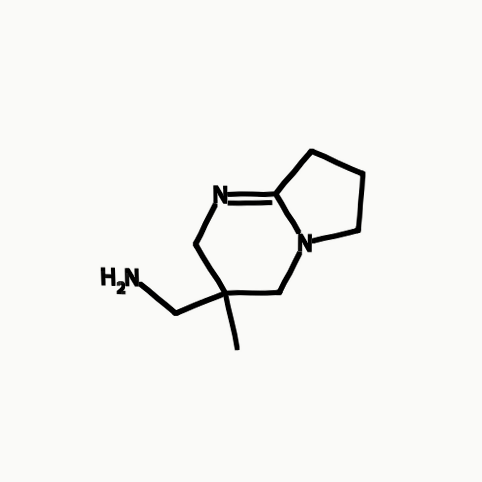 CC1(CN)CN=C2CCCN2C1